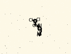 Cn1ccc(CN2CCC(F)(CNC(=O)c3cc(Cl)cc(Cl)c3)CC2)n1